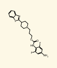 Nc1cc(F)c(NC(=O)OCCCN2CCC(c3nc4ccccc4s3)CC2)c(F)c1